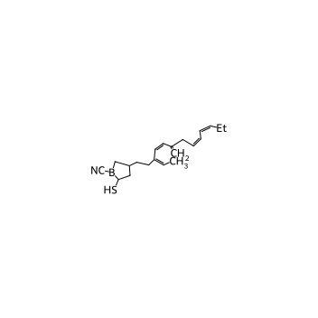 C=C(/C=C\C(=C/C)CCC1CB(C#N)C(S)C1)C/C=C\C=C/CC